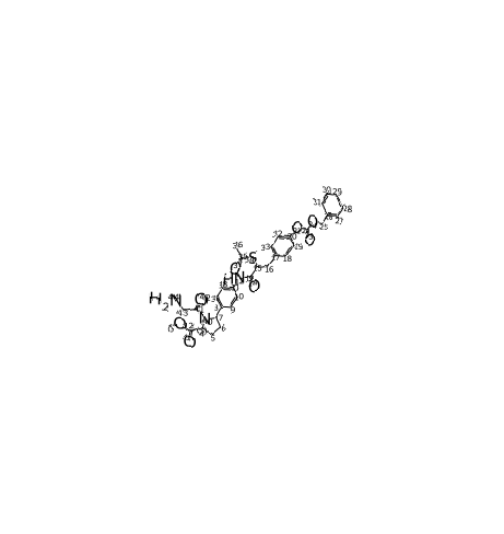 COC(=O)[C@@H]1CCC(c2ccc(NC(=O)C(Cc3ccc(OC(=O)OCc4ccccc4)cc3)SC(C)=O)cc2)N1C(=O)CN